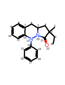 CCC1(C)CC2Cc3ccccc3N(c3ccccc3)N2C1=O